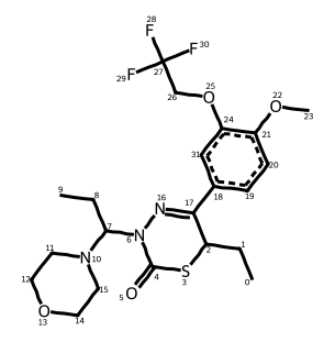 CCC1SC(=O)N(C(CC)N2CCOCC2)N=C1c1ccc(OC)c(OCC(F)(F)F)c1